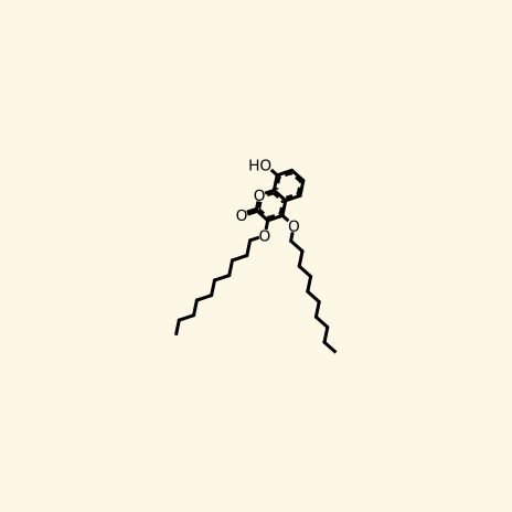 CCCCCCCCCCOc1c(OCCCCCCCCCC)c2cccc(O)c2oc1=O